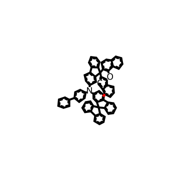 c1ccc(-c2ccc(N(c3ccc4c(c3)C3(c5ccccc5-c5ccccc53)c3ccccc3-4)c3ccc4c(c3)C3(c5ccccc5-4)c4ccc5ccccc5c4Oc4c3ccc3ccccc43)cc2)cc1